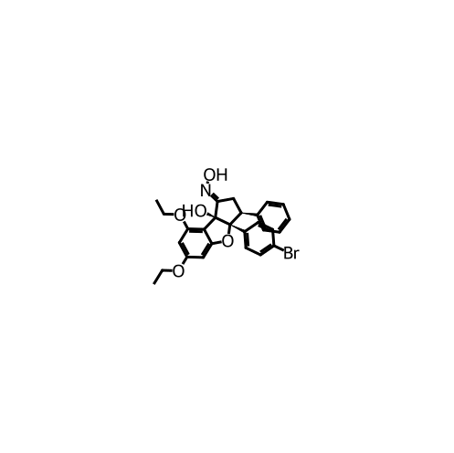 CCOc1cc(OCC)c2c(c1)O[C@@]1(c3ccc(Br)cc3)[C@H](c3ccccc3)CC(=NO)[C@@]21O